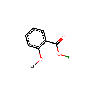 CCOc1ccccc1C(=O)OF